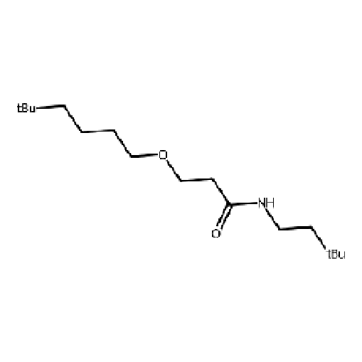 CC(C)(C)CCCCOCCC(=O)NCCC(C)(C)C